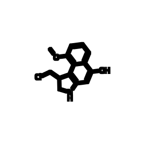 COc1cccc2c(O)cc3c(c12)C(CCl)CN3